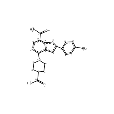 CC(C)(C)c1ccc(-c2cc3c(N4CCC(C(N)=O)CC4)ncc(C(N)=O)c3s2)cc1